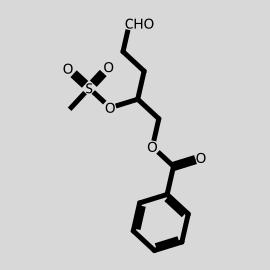 CS(=O)(=O)OC(CCC=O)COC(=O)c1ccccc1